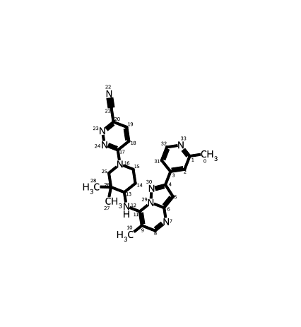 Cc1cc(-c2cc3ncc(C)c(NC4CCN(c5ccc(C#N)nn5)CC4(C)C)n3n2)ccn1